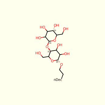 CCCCCCCCCCCCO[C@@H]1OC(CO)[C@@H](O[C@@H]2OC(CO)[C@@H](O)C(O)C2O)C(O)C1O